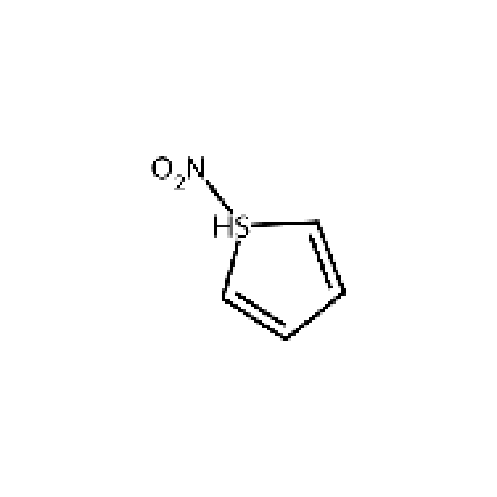 O=[N+]([O-])[SH]1C=CC=C1